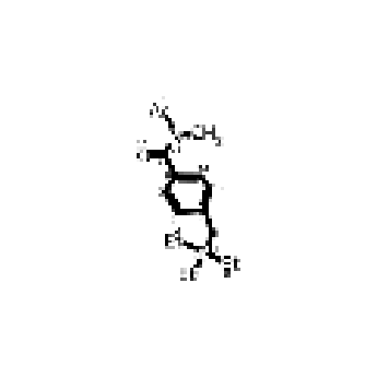 CC[N+](CC)(CC)Cc1ccc(C(=O)N(C)C(C)=O)cc1